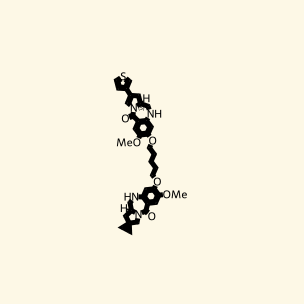 COc1cc2c(cc1OCCCCCOc1cc3c(cc1OC)C(=O)N1CC4(CC4)C[C@H]1CN3)NC[C@@H]1CC(c3ccsc3)=CN1C2=O